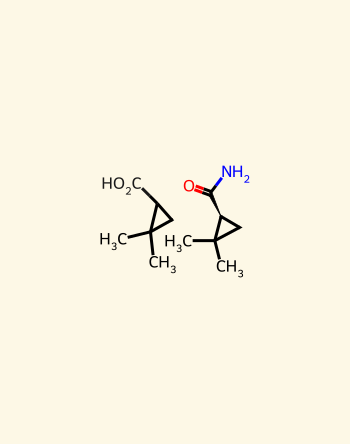 CC1(C)CC1C(=O)O.CC1(C)C[C@@H]1C(N)=O